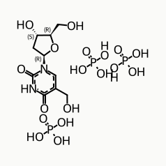 O=P(O)(O)O.O=P(O)(O)O.O=P(O)(O)O.O=c1[nH]c(=O)n([C@H]2C[C@H](O)[C@@H](CO)O2)cc1CO